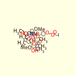 C\C=C/C=C/C=C/[C@@H](C)C[C@@H](C)C(=O)[C@H](OC)[C@H](O)/C(C)=C/[C@@H](C)C(=O)C[C@H](OC(=O)[C@@H]1CCCCN1C(=O)C(=O)[C@](C)(O)OC)[C@H](C)C[C@@H]1CC[C@@H](OCCOC(=O)CI)[C@H](OC)C1